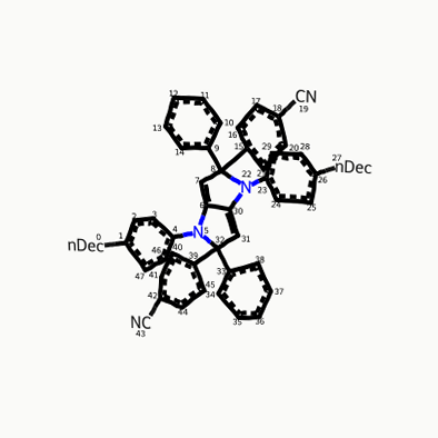 CCCCCCCCCCc1ccc(N2C3=CC(c4ccccc4)(c4ccc(C#N)cc4)N(c4ccc(CCCCCCCCCC)cc4)C3=CC2(c2ccccc2)c2ccc(C#N)cc2)cc1